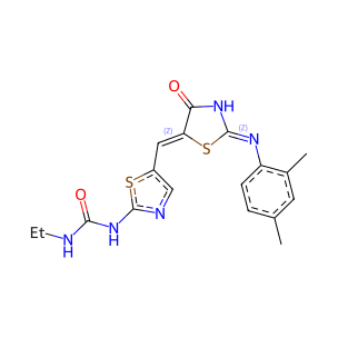 CCNC(=O)Nc1ncc(/C=C2\S/C(=N\c3ccc(C)cc3C)NC2=O)s1